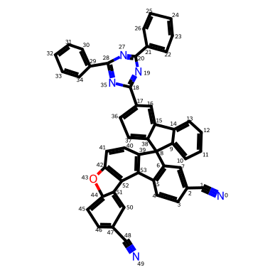 N#Cc1ccc2c(c1)C1(c3ccccc3-c3cc(-c4nc(-c5ccccc5)nc(-c5ccccc5)n4)ccc31)c1ccc3oc4ccc(C#N)cc4c3c1-2